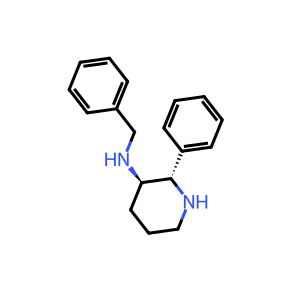 c1ccc(CN[C@@H]2CCCN[C@H]2c2ccccc2)cc1